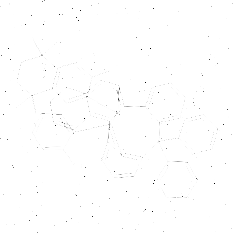 Cc1cc2c(cc1N1/C(c3ccccc3S)=C\c3c4cccc3C(C3=CCCC=C3)(c3ccccc3)c3ccccc3-c3c1cc1c(c3-4)C=CCC1)C(C)(C)CCC2(C)C